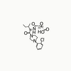 CCC(C)[C@H](NC(=O)[C@H]1O[C@@H]1C(=O)O)C(=O)N1CCN(c2ccccc2Cl)CC1